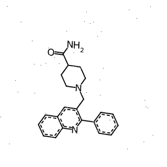 NC(=O)C1CCN(Cc2cc3ccccc3nc2-c2ccccc2)CC1